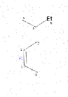 C/[C]=C\CC(C)CC